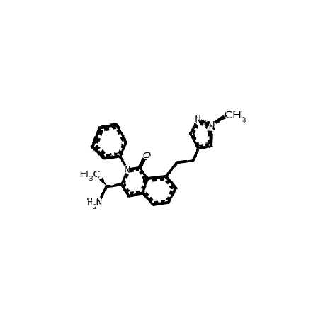 C[C@H](N)c1cc2cccc(CCc3cnn(C)c3)c2c(=O)n1-c1ccccc1